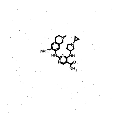 COc1cc2c(cc1Nc1ncc(C(N)=O)c(NC3CCN(C4CC4)C3)n1)CN(C)CC2